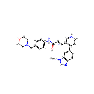 CCCCCn1cnc2ccc(-c3ccncc3/C=C/C(=O)Nc3ccc(CN4CCOCC4)cc3)cc21